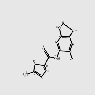 Cc1cc2c(cc1NC(=O)c1ccc(N)s1)OCO2